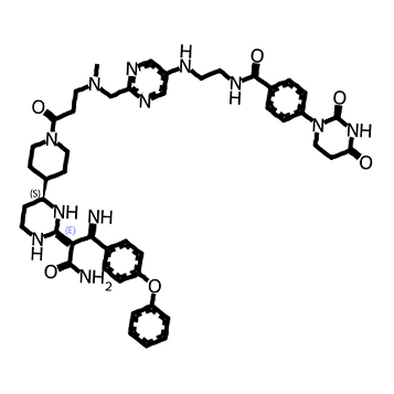 CN(CCC(=O)N1CCC([C@@H]2CCN/C(=C(/C(=N)c3ccc(Oc4ccccc4)cc3)C(N)=O)N2)CC1)Cc1ncc(NCCNC(=O)c2ccc(N3CCC(=O)NC3=O)cc2)cn1